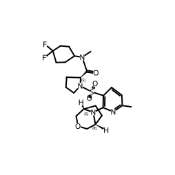 Cc1ccc(S(=O)(=O)N2CCC[C@H]2C(=O)N(C)C2CCC(F)(F)CC2)c(N2[C@@H]3CC[C@H]2COC3)n1